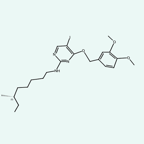 CC[C@H](C)CCCCCNc1ncc(I)c(OCc2ccc(OC)c(OC)c2)n1